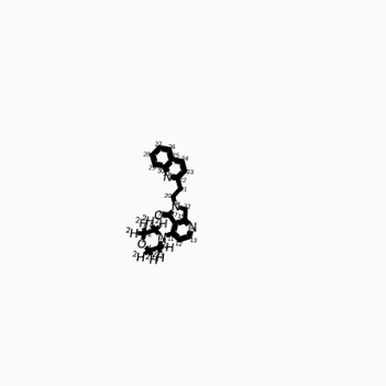 [2H]C1([2H])OC([2H])([2H])C([2H])([2H])N(c2ccnc3c2C(=O)N(CCc2ccc4ccccc4n2)C3)C1([2H])[2H]